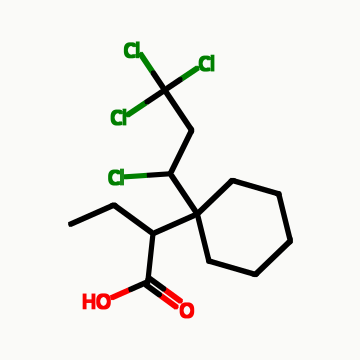 CCC(C(=O)O)C1(C(Cl)CC(Cl)(Cl)Cl)CCCCC1